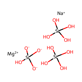 O[Si](O)(O)O.O[Si](O)(O)O.[Mg+2].[Na+].[O-][Si]([O-])([O-])O